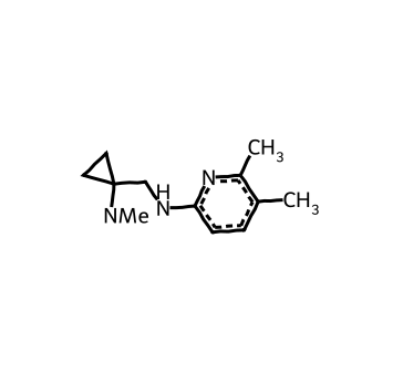 CNC1(CNc2ccc(C)c(C)n2)CC1